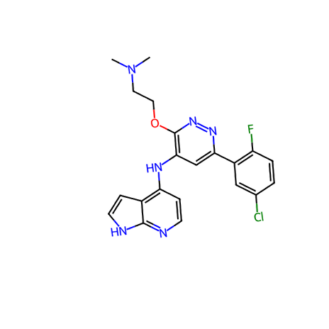 CN(C)CCOc1nnc(-c2cc(Cl)ccc2F)cc1Nc1ccnc2[nH]ccc12